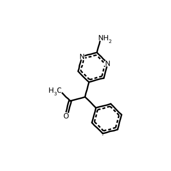 CC(=O)C(c1c[c]ccc1)c1cnc(N)nc1